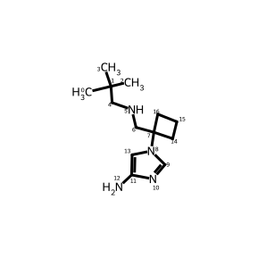 CC(C)(C)CNCC1(n2cnc(N)c2)CCC1